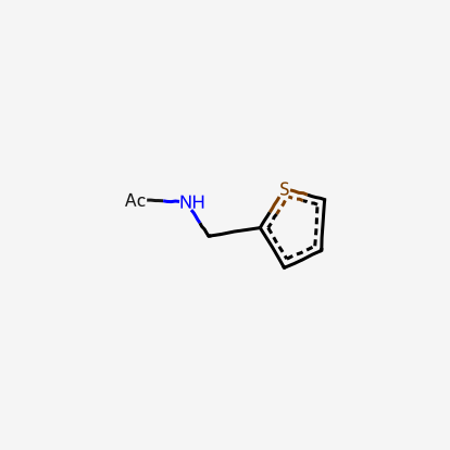 [CH2]C(=O)NCc1cccs1